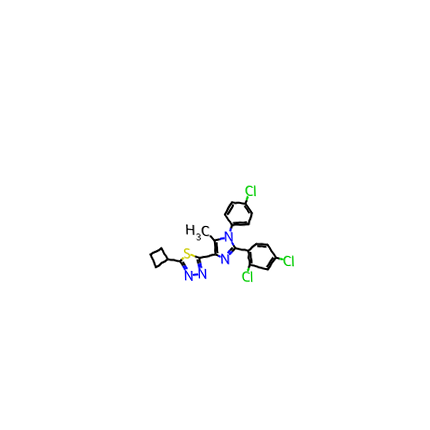 Cc1c(-c2nnc(C3CCC3)s2)nc(-c2ccc(Cl)cc2Cl)n1-c1ccc(Cl)cc1